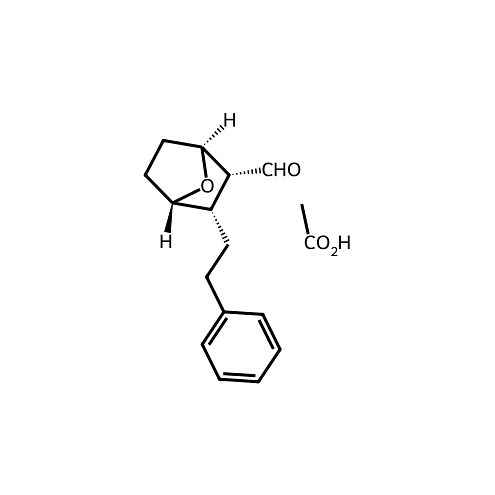 CC(=O)O.O=C[C@@H]1[C@H](CCc2ccccc2)[C@@H]2CC[C@@H]1O2